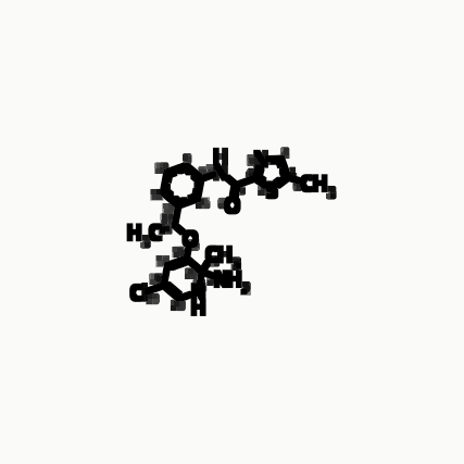 Cc1cnc(C(=O)Nc2cccc([C@@H](C)OC3=CC(Cl)=CNC3(C)N)c2)s1